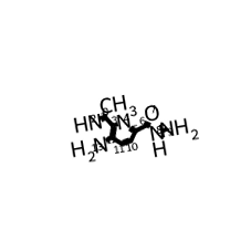 CC(=N)c1nc(C(=O)NN)ccc1N